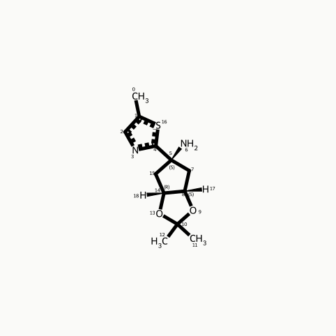 Cc1cnc([C@]2(N)C[C@@H]3OC(C)(C)O[C@@H]3C2)s1